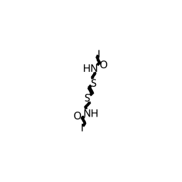 O=C(CI)NCCSC=CSCCNC(=O)CI